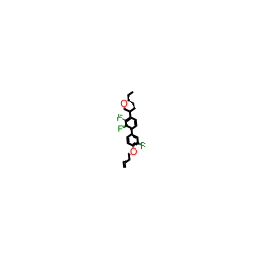 CCCCOc1ccc(-c2ccc(C3CCC(CC)OC3)c(F)c2F)cc1F